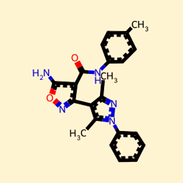 Cc1ccc(NC(=O)c2c(-c3c(C)nn(-c4ccccc4)c3C)noc2N)cc1